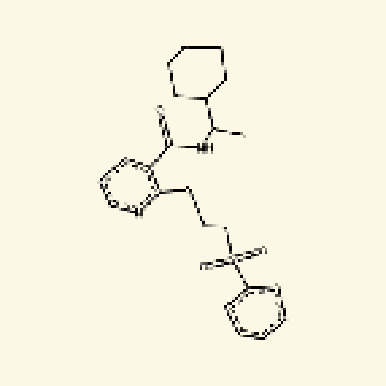 CC(NC(=O)c1cccnc1SCCS(=O)(=O)c1ccccc1)C1CCCCC1